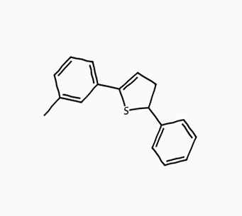 Cc1cccc(C2=CCC(c3ccccc3)S2)c1